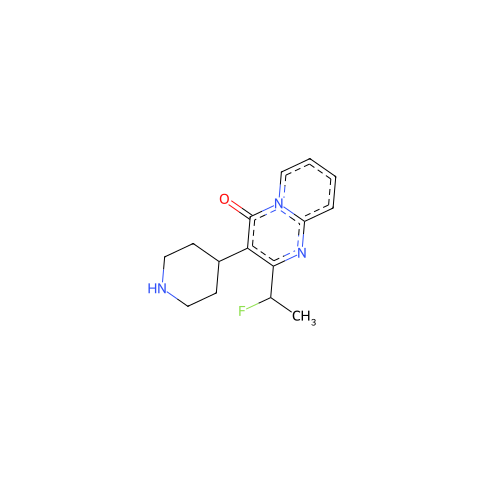 CC(F)c1nc2ccccn2c(=O)c1C1CCNCC1